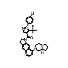 O=C(c1cnn(-c2ccc(Cl)cc2)c1C(F)(F)F)N1CCc2cc3nccc(N4CCN5CCC[C@H]5C4)c3cc21